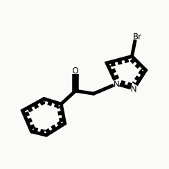 O=C(Cn1cc(Br)cn1)c1ccccc1